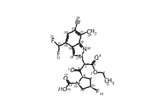 CCOC(=O)C(C(=O)[C@H]1C[C@@H](F)CN1C(=O)O)n1cc2c(C(F)F)cc(Br)c(C)c2n1